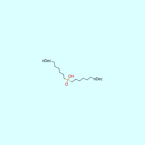 CCCCCCCCCCCCCCCCP(=O)(O)CCCCCCCCCCCCCCCC